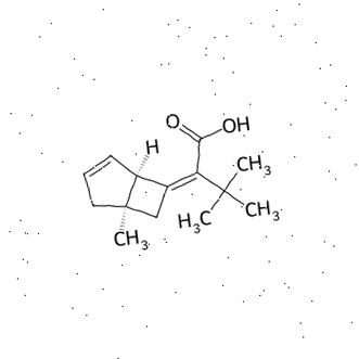 CC(C)(C)C(C(=O)O)=C1C[C@@]2(C)CC=C[C@@H]12